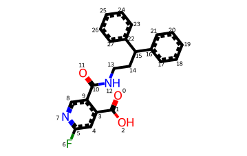 O=C(O)c1cc(F)ncc1C(=O)NCCC(c1ccccc1)c1ccccc1